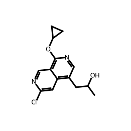 CC(O)Cc1cnc(OC2CC2)c2cnc(Cl)cc12